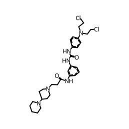 O=C(CCN1CCC(N2CCCCC2)CC1)Nc1cccc(NC(=O)Nc2ccc(N(CCCl)CCCl)cc2)c1